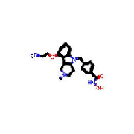 CNCCOc1cccc2c1c1c(n2Cc2ccc(C(=O)NO)cc2)CCN(C)C1